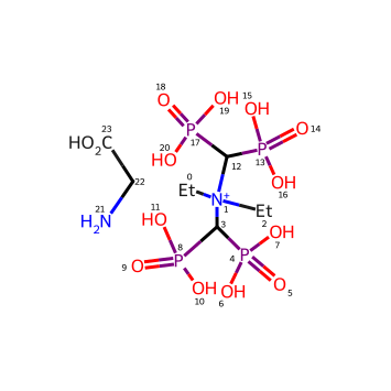 CC[N+](CC)(C(P(=O)(O)O)P(=O)(O)O)C(P(=O)(O)O)P(=O)(O)O.NCC(=O)O